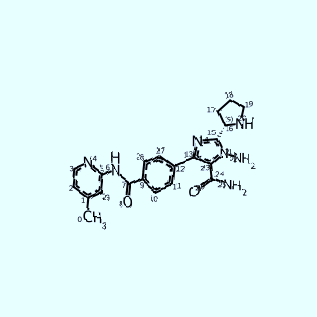 Cc1ccnc(NC(=O)c2ccc(-c3nc([C@@H]4CCCN4)n(N)c3C(N)=O)cc2)c1